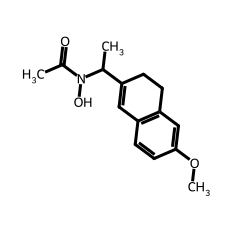 COc1ccc2c(c1)CCC(C(C)N(O)C(C)=O)=C2